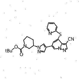 CC(C)(C)OC(=O)N1CCC[C@@H](n2cc(-c3cc(Sc4ccccn4)c4c(C#N)cnn4c3)cn2)C1